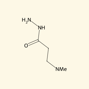 CNCCC(=O)NN